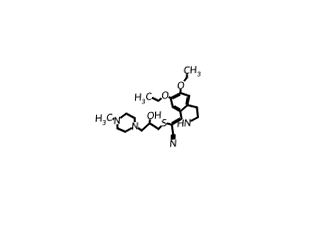 CCOc1cc2c(cc1OCC)C(=C(C#N)SCC(O)CN1CCN(C)CC1)NCC2